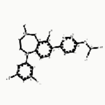 CN1CCN(c2cc(F)cc(F)c2)c2ccc(-c3ccc(OC(F)F)nn3)c(F)c2C1